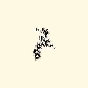 Cc1nc(CNc2nc(-n3cc(-c4ccc5ccccc5n4)cn3)nc(N)c2Br)cs1